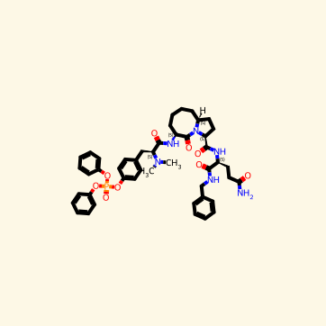 CN(C)[C@@H](Cc1ccc(OP(=O)(Oc2ccccc2)Oc2ccccc2)cc1)C(=O)N[C@H]1CCCC[C@H]2CC[C@@H](C(=O)N[C@@H](CCC(N)=O)C(=O)NCc3ccccc3)N2C1=O